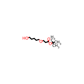 CC(C)(C)OC(=O)CCOCCCCCO